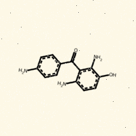 Nc1ccc(C(=O)c2c(N)ccc(O)c2N)cc1